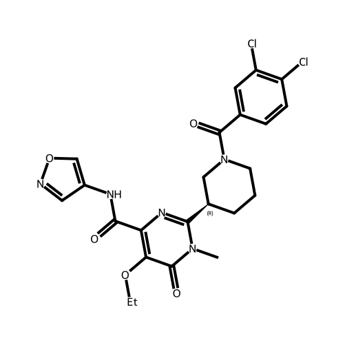 CCOc1c(C(=O)Nc2cnoc2)nc([C@@H]2CCCN(C(=O)c3ccc(Cl)c(Cl)c3)C2)n(C)c1=O